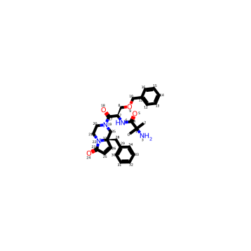 CC(C)(N)C(=O)N[C@H](COCc1ccccc1)C(=O)N1CCN2C(=O)C=C[C@@]2(Cc2ccccc2)C1